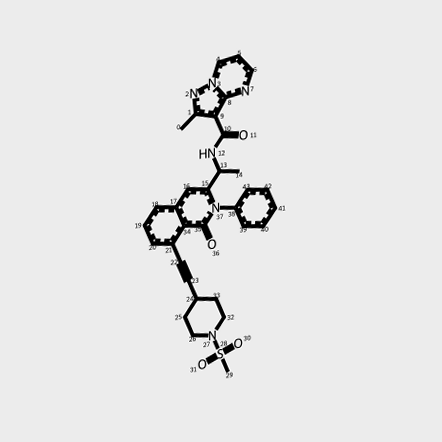 Cc1nn2cccnc2c1C(=O)NC(C)c1cc2cccc(C#CC3CCN(S(C)(=O)=O)CC3)c2c(=O)n1-c1ccccc1